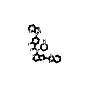 O=C(c1ccc(-n2nnc3cccnc32)cc1F)N(c1nccc2sc(-c3nc4ccccn4n3)cc12)[C@@H]1CCCNC1